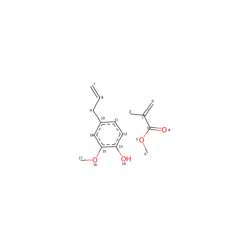 C=C(C)C(=O)OC.C=CCc1ccc(O)c(OC)c1